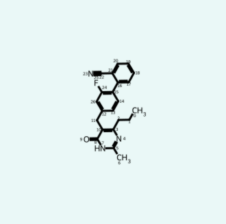 CCCc1nc(C)[nH]c(=O)c1Cc1ccc(-c2ccccc2C#N)c(F)c1